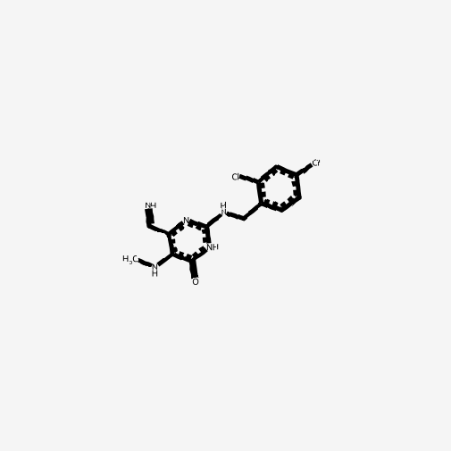 CNc1c(C=N)nc(NCc2ccc(Cl)cc2Cl)[nH]c1=O